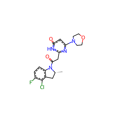 C[C@@H]1Cc2c(ccc(F)c2Cl)N1C(=O)Cc1nc(N2CCOCC2)cc(=O)[nH]1